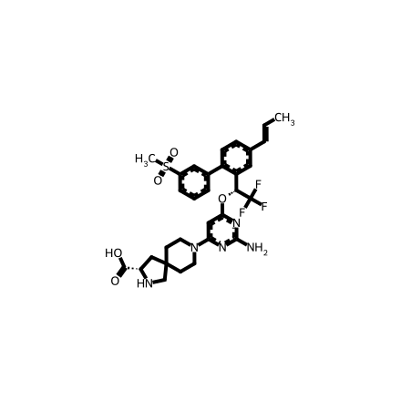 CC=Cc1ccc(-c2cccc(S(C)(=O)=O)c2)c([C@@H](Oc2cc(N3CCC4(CC3)CN[C@H](C(=O)O)C4)nc(N)n2)C(F)(F)F)c1